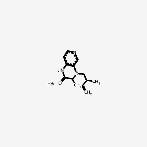 Br.C=CC(C)CN1c2cnccc2NC(=O)C1C